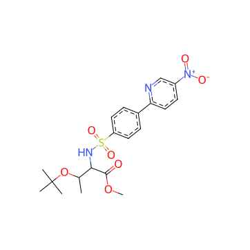 COC(=O)C(NS(=O)(=O)c1ccc(-c2ccc([N+](=O)[O-])cn2)cc1)C(C)OC(C)(C)C